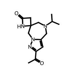 CC(=O)c1cc2n(n1)CC1(CC(=O)N1)CN(C(C)C)C2